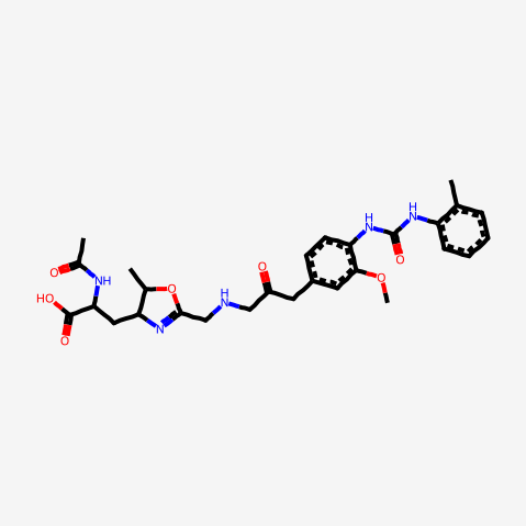 COc1cc(CC(=O)CNCC2=NC(CC(NC(C)=O)C(=O)O)C(C)O2)ccc1NC(=O)Nc1ccccc1C